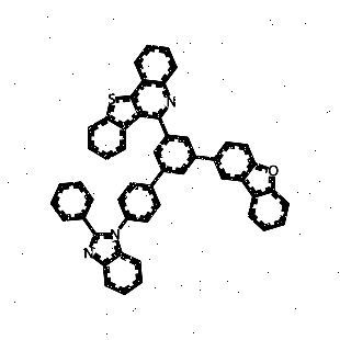 c1ccc(-c2nc3ccccc3n2-c2ccc(-c3cc(-c4ccc5oc6ccccc6c5c4)cc(-c4nc5ccccc5c5sc6ccccc6c45)c3)cc2)cc1